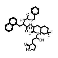 N#CC(CC1CCNC1=O)NC(=O)C(CC1CCC(F)(F)CC1)NC(=O)C(Cc1cccc2ccccc12)NC(=O)OCc1ccccc1